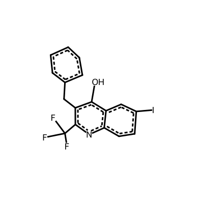 Oc1c(Cc2ccccc2)c(C(F)(F)F)nc2ccc(I)cc12